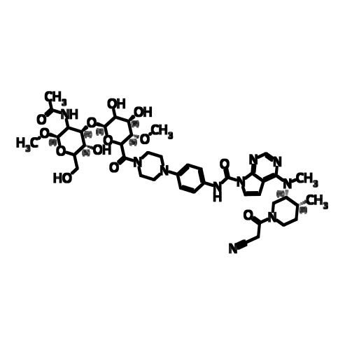 CO[C@@H]1OC(CO)[C@@H](O)[C@H](O[C@@H]2OC(C(=O)N3CCN(c4ccc(NC(=O)n5ccc6c(N(C)[C@H]7CN(C(=O)CC#N)CC[C@H]7C)ncnc65)cc4)CC3)[C@@H](OC)[C@H](O)C2O)C1NC(C)=O